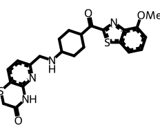 COc1cccc2sc(C(=O)C3CCC(NCc4ccc5c(n4)NC(=O)CS5)CC3)nc12